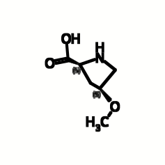 CO[C@@H]1CN[C@H](C(=O)O)C1